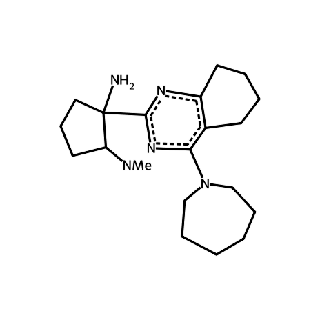 CNC1CCCC1(N)c1nc2c(c(N3CCCCCC3)n1)CCCC2